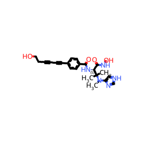 CN(c1c[nH]cn1)C(C)(C)[C@H](NC(=O)c1ccc(C#CC#CCCO)cc1)C(=O)NO